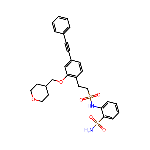 NS(=O)(=O)c1ccccc1NS(=O)(=O)CCc1ccc(C#Cc2ccccc2)cc1OCC1CCOCC1